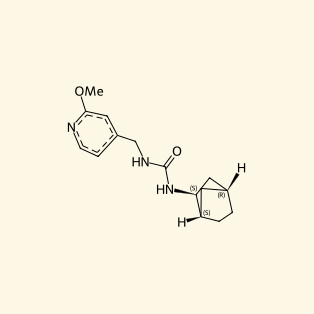 COc1cc(CNC(=O)N[C@H]2C[C@@H]3CC[C@H]2C3)ccn1